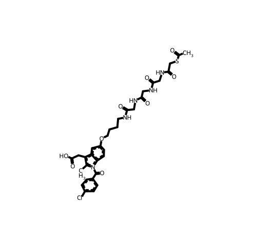 CC(=O)SCC(=O)NCC(=O)NCC(=O)NCC(=O)NCCCCOc1ccc2c(c1)c(CC(=O)O)c(C)n2C(=O)c1ccc(Cl)cc1